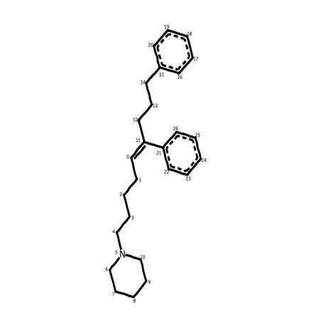 C(CCCCN1CCCCC1)=C(CCCc1ccccc1)c1ccccc1